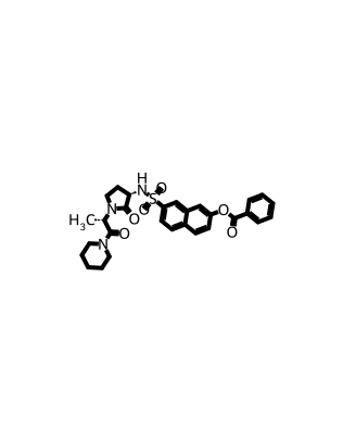 C[C@@H](C(=O)N1CCCCC1)N1CC[C@H](NS(=O)(=O)c2ccc3ccc(OC(=O)c4ccccc4)cc3c2)C1=O